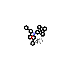 C[SiH](C)C1C=C(N(C2C=CC(C3(C4=CCCC=C4)C4=C(CCC=C4)C4C=CCCC43)=CC2)C2CCC(C3CCCCC3)CC2c2ccccc2)CCC1C1C=CCCC1